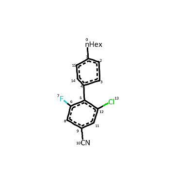 CCCCCCc1ccc(-c2c(F)cc(C#N)cc2Cl)cc1